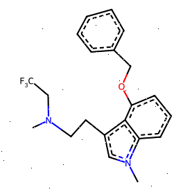 CN(CCc1cn(C)c2cccc(OCc3ccccc3)c12)CC(F)(F)F